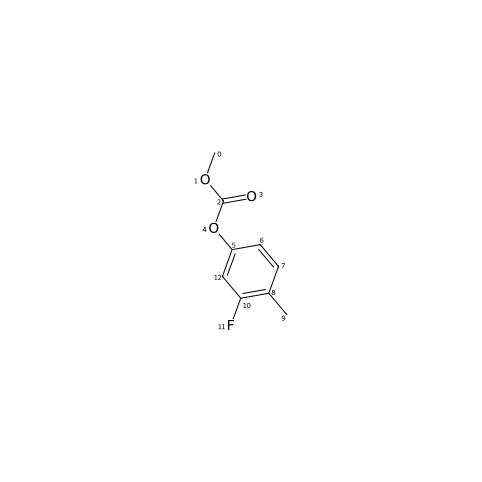 COC(=O)Oc1ccc(C)c(F)c1